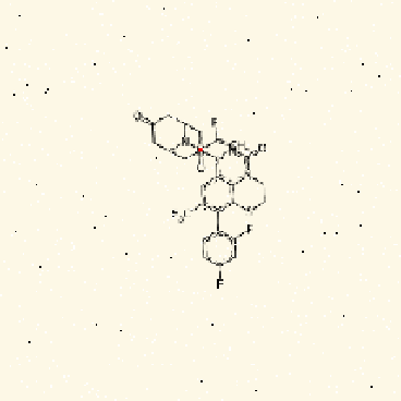 C=C(F)C(=O)N1C2CC(=O)CC1CN(c1nc(=O)n3c4c(c(-c5ccc(F)cc5F)c(C(F)(F)F)cc14)SCC3)C2